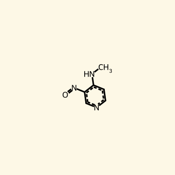 CNc1ccncc1N=O